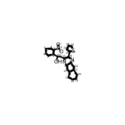 O=[N+]([O-])c1ccccc1C(O)Cc1nc2cc3ccccc3cc2nc1-c1cccs1